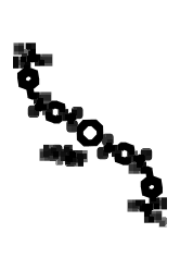 N=C(N)Nc1ccc(CNC(=O)N2CCN(C(=O)O[C@H]3CCC[C@@H](OC(=O)N4CCN(C(=O)NCc5ccc(NC(=N)N)cc5)CC4)CCC3)CC2)cc1.O=S(=O)(O)O.O=S(=O)(O)O